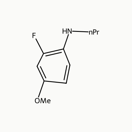 CCCNc1ccc(OC)cc1F